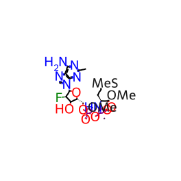 COC(=O)[C@H](CCSC)NP(C)(=O)OP(=O)(OC)OC[C@H]1O[C@@H](n2cnc3c(N)nc(C)nc32)[C@H](F)C1O